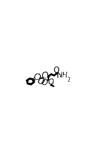 CCOC(=O)C(CCC(N)=O)OC(=O)Oc1ccccc1